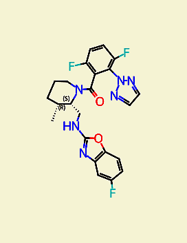 C[C@@H]1CCCN(C(=O)c2c(F)ccc(F)c2-n2nccn2)[C@@H]1CNc1nc2cc(F)ccc2o1